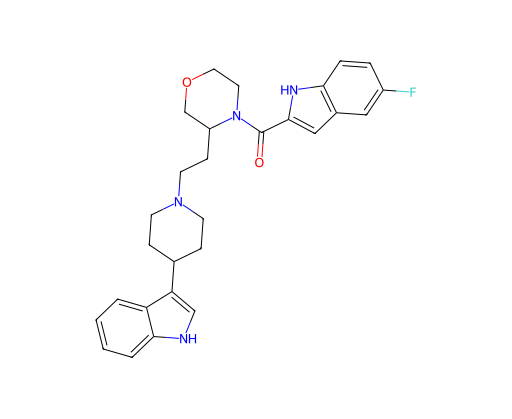 O=C(c1cc2cc(F)ccc2[nH]1)N1CCOCC1CCN1CCC(c2c[nH]c3ccccc23)CC1